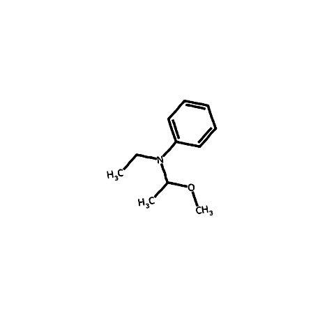 CCN(c1ccccc1)C(C)OC